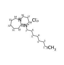 CCCCCCCC[N+]1=C2CCCCCN2CCC1.[Cl-]